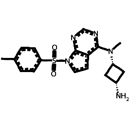 Cc1ccc(S(=O)(=O)n2ccc3c(N(C)[C@H]4C[C@@H](N)C4)ncnc32)cc1